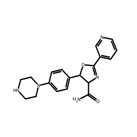 NC(=O)C1N=C(c2cccnc2)OC1c1ccc(N2CCNCC2)cc1